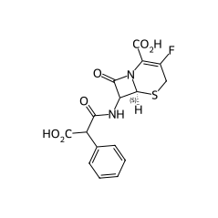 O=C(O)C1=C(F)CS[C@H]2C(NC(=O)C(C(=O)O)c3ccccc3)C(=O)N12